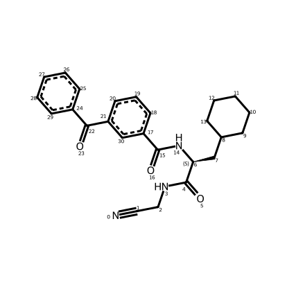 N#CCNC(=O)[C@H](CC1CCCCC1)NC(=O)c1cccc(C(=O)c2ccccc2)c1